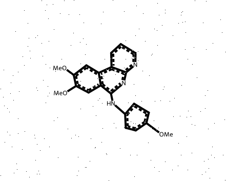 COc1ccc(Nc2nc3ncccc3c3cc(OC)c(OC)cc23)cc1